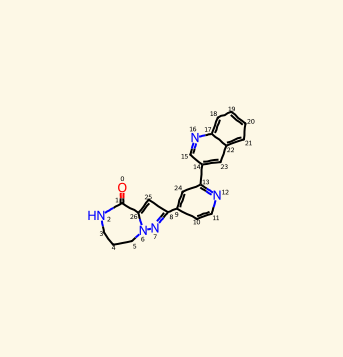 O=C1NCCCn2nc(-c3ccnc(-c4cnc5ccccc5c4)c3)cc21